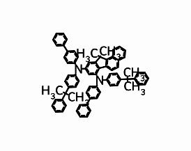 CC(C)(c1ccccc1)c1ccc(N(c2ccc(-c3ccccc3)cc2)c2cc(N(c3ccc(-c4ccccc4)cc3)c3ccc(C(C)(C)c4ccccc4)cc3)c3c(c2)C(C)(C)c2c-3ccc3ccccc23)cc1